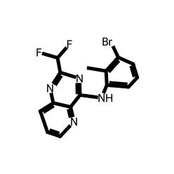 Cc1c(Br)cccc1Nc1nc(C(F)F)nc2cccnc12